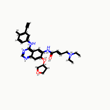 C#Cc1cc(Nc2ncnc3cc(O[C@H]4CCOC4)c(NC(=O)C=CCN(CC)CC)cc23)ccc1C